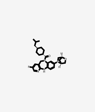 CC(C)C[C@H]1CC[C@H](C(=O)N2Cc3cc(F)cnc3Nc3ccc(N4C[C@@H]5C[C@H]4CO5)cc32)CC1